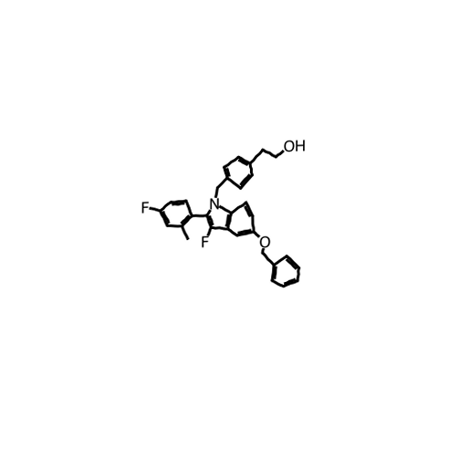 Cc1cc(F)ccc1-c1c(F)c2cc(OCc3ccccc3)ccc2n1Cc1ccc(CCO)cc1